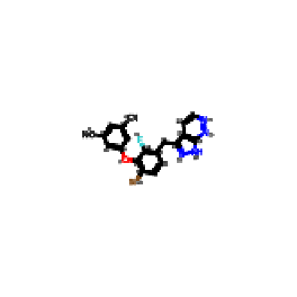 N#Cc1cc(C#N)cc(Oc2c(Br)ccc(Cc3n[nH]c4nnccc34)c2F)c1